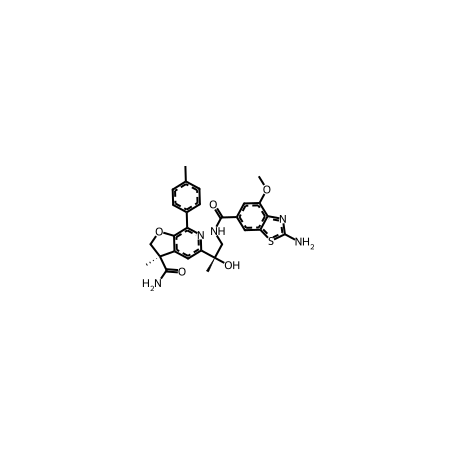 COc1cc(C(=O)NC[C@](C)(O)c2cc3c(c(-c4ccc(C)cc4)n2)OC[C@]3(C)C(N)=O)cc2sc(N)nc12